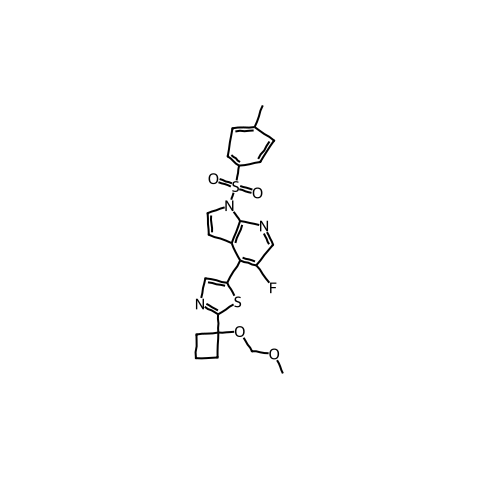 COCOC1(c2ncc(-c3c(F)cnc4c3ccn4S(=O)(=O)c3ccc(C)cc3)s2)CCC1